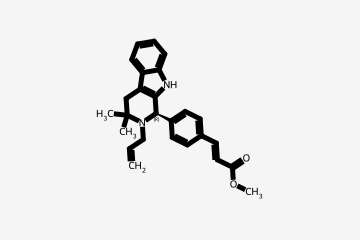 C=CCN1[C@H](c2ccc(C=CC(=O)OC)cc2)c2[nH]c3ccccc3c2CC1(C)C